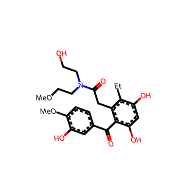 CCc1c(O)cc(O)c(C(=O)c2ccc(OC)c(O)c2)c1CC(=O)N(CCO)CCOC